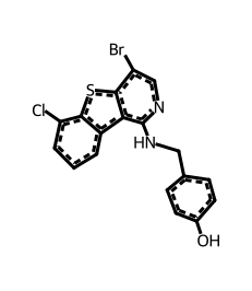 Oc1ccc(CNc2ncc(Br)c3sc4c(Cl)cccc4c23)cc1